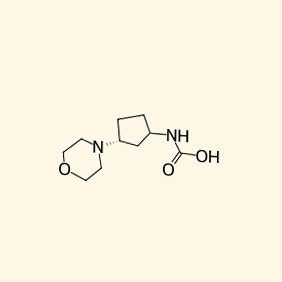 O=C(O)NC1CC[C@@H](N2CCOCC2)C1